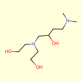 CN(C)CCC(O)CN(CCO)CCO